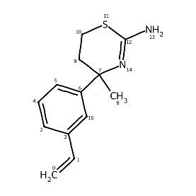 C=Cc1cccc(C2(C)CCSC(N)=N2)c1